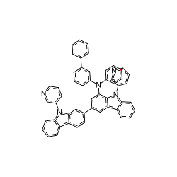 c1ccc(-c2cccc(N(c3ccccc3)c3cc(-c4ccc5c6ccccc6n(-c6cccnc6)c5c4)cc4c5ccccc5n(-c5cccnc5)c34)c2)cc1